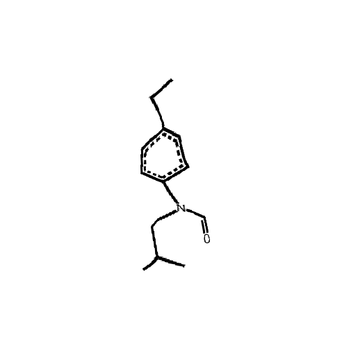 CCc1ccc(N(C=O)CC(C)C)cc1